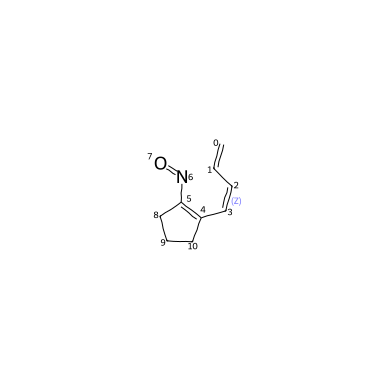 C=C/C=C\C1=C(N=O)CCC1